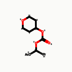 CC(=O)OC(OC(=O)OC1CCOCC1)C(C)C